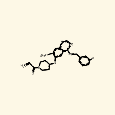 C=CC(=O)N1CCC(Oc2cc3c(NCc4cccc(F)c4)ncnc3cc2OC)CC1